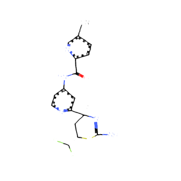 C[C@@]1(c2cc(NC(=O)c3ccc(C#N)cn3)ccn2)C[C@@H](C(F)F)SC(N)=N1